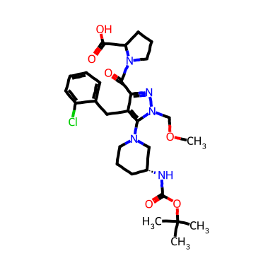 COCn1nc(C(=O)N2CCCC2C(=O)O)c(Cc2ccccc2Cl)c1N1CCC[C@@H](NC(=O)OC(C)(C)C)C1